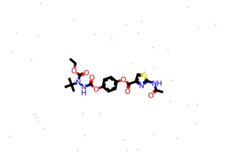 CCOC(=O)N(NC(=O)Oc1ccc(OC(=O)c2csc(NC(C)=O)n2)cc1)C(C)(C)C